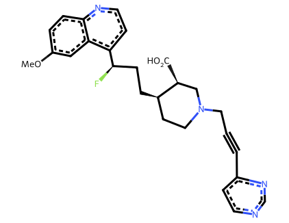 COc1ccc2nccc([C@H](F)CC[C@@H]3CCN(CC#Cc4ccncn4)C[C@@H]3C(=O)O)c2c1